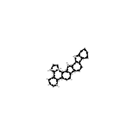 c1ccc2c(c1)oc1c2ccc2c3ccc4c5ncccc5c5nccn5c4c3oc21